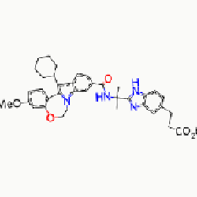 COc1ccc2c(c1)OCCn1c-2c(C2CCCCC2)c2ccc(C(=O)NC(C)(C)c3nc4cc(CCC(=O)O)ccc4[nH]3)cc21